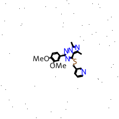 COc1ccc(-c2nc(SCc3cccnc3)c3c(C)nc(C)n3n2)cc1OC